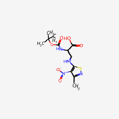 Cc1nsc(NCC(NC(=O)OC(C)(C)C)C(=O)O)c1[N+](=O)[O-]